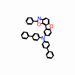 c1ccc(-c2ccc(N(c3ccc(-c4ccccc4)cc3)c3ccc4oc5ccc6nc(-c7ccccc7)oc6c5c4c3)cc2)cc1